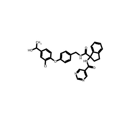 CC(O)c1ccc(Oc2ccc(CNC(=O)C3(NC(=O)c4cncnc4)CCc4ccccc43)cc2)c(Cl)c1